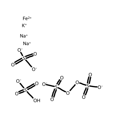 O=S(=O)([O-])O.O=S(=O)([O-])OOS(=O)(=O)[O-].O=S(=O)([O-])[O-].[Fe+2].[K+].[Na+].[Na+]